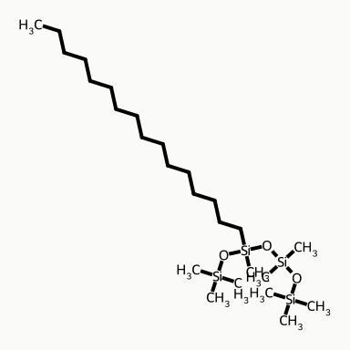 CCCCCCCCCCCCCCCC[Si](C)(O[Si](C)(C)C)O[Si](C)(C)O[Si](C)(C)C